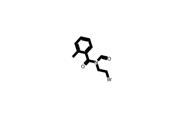 Cc1ccccc1C(=O)N(C=O)CCBr